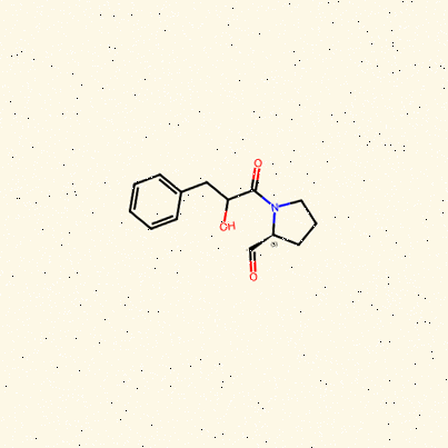 O=[C][C@@H]1CCCN1C(=O)C(O)Cc1ccccc1